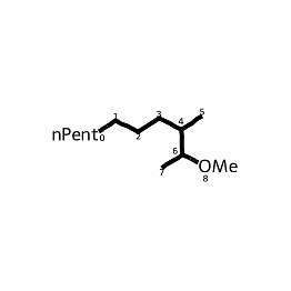 CCCCCCCCC(C)C(C)OC